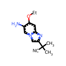 CCOc1cc2nc(C(C)(C)C#N)cn2cc1N